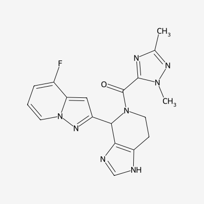 Cc1nc(C(=O)N2CCc3[nH]cnc3C2c2cc3c(F)cccn3n2)n(C)n1